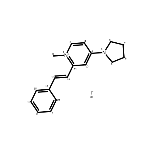 C[n+]1ccc(N2CCCC2)cc1C=Cc1ccccc1.[I-]